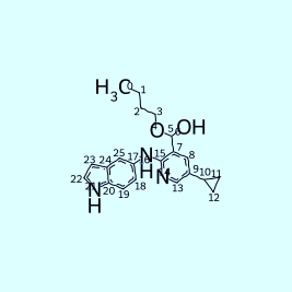 CCCCOC(O)c1cc(C2CC2)cnc1Nc1ccc2[nH]ccc2c1